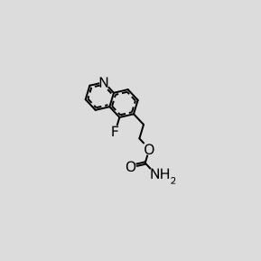 NC(=O)OCCc1ccc2ncccc2c1F